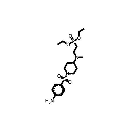 CCOP(=O)(CCN(C)C1CCN(S(=O)(=O)c2ccc(N)cc2)CC1)OCC